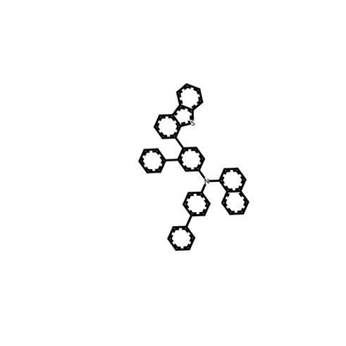 c1ccc(-c2ccc(N(c3ccc(-c4cccc5c4sc4ccccc45)c(-c4ccccc4)c3)c3cccc4ccccc34)cc2)cc1